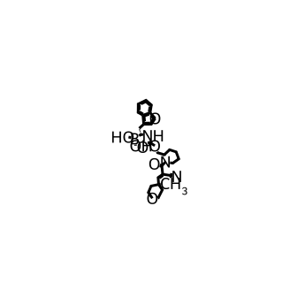 CC1(C=C(C#N)C(=O)N2CCCCC2COC(=O)N[C@@H](Cc2coc3ccccc23)B(O)O)CCOCC1